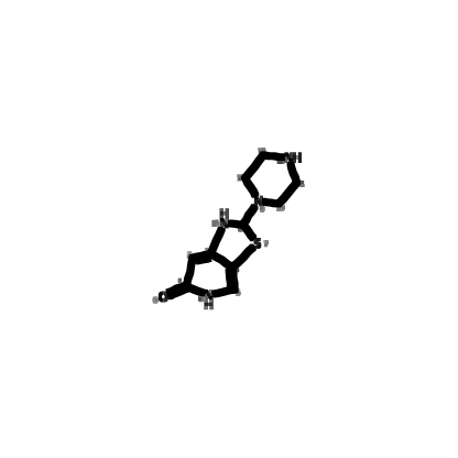 O=c1cc2c(c[nH]1)SC(N1CCNCC1)N2